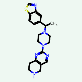 CC(c1ccc2scnc2c1)N1CCN(c2ncc3c(n2)CCNC3)CC1